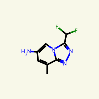 Cc1cc(N)cn2c(C(F)F)nnc12